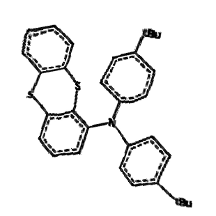 CC(C)(C)c1ccc(N(c2ccc(C(C)(C)C)cc2)c2cccc3c2Sc2ccccc2S3)cc1